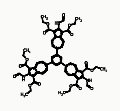 CCOC(=O)c1c2ccc(-c3cc(-c4ccc5c(C(=O)OCC)c(NC=O)c(C(=O)OCC)c-5cc4)cc(-c4ccc5c(C(=O)OCC)c(NC=O)c(C(=O)OCC)c-5cc4)c3)ccc-2c(C(=O)OCC)c1NC=O